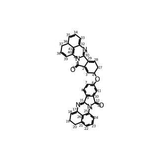 O=C1C2=CC(Oc3ccc4c(c3)C(=O)N3C4=NC4=CCCc5cccc3c54)CC=C2C2=NC3=CC=CC4CC=CC(=C34)N12